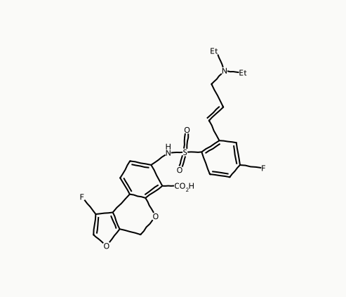 CCN(CC)CC=Cc1cc(F)ccc1S(=O)(=O)Nc1ccc2c(c1C(=O)O)OCc1occ(F)c1-2